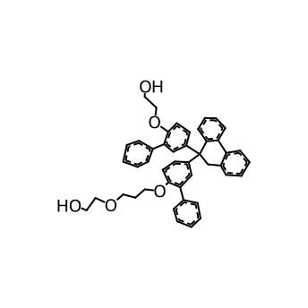 OCCOCCCOc1ccc(C2(c3ccc(OCCO)c(-c4ccccc4)c3)Cc3ccccc3-c3ccccc32)cc1-c1ccccc1